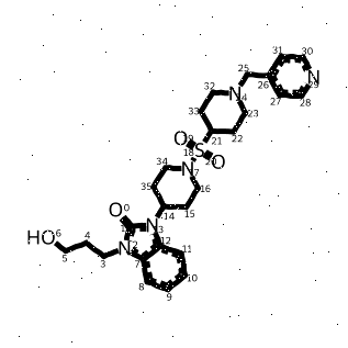 O=c1n(CCCO)c2ccccc2n1C1CCN(S(=O)(=O)C2CCN(Cc3ccncc3)CC2)CC1